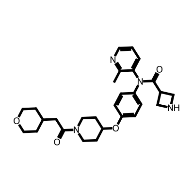 Cc1ncccc1N(C(=O)C1CNC1)c1ccc(OC2CCN(C(=O)CC3CCOCC3)CC2)cc1